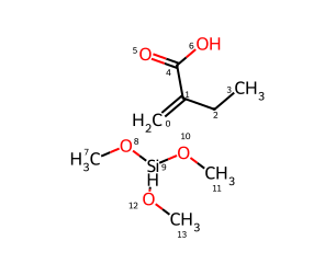 C=C(CC)C(=O)O.CO[SiH](OC)OC